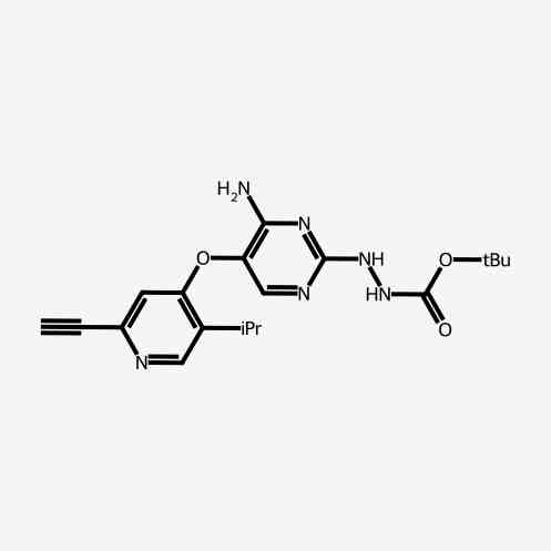 C#Cc1cc(Oc2cnc(NNC(=O)OC(C)(C)C)nc2N)c(C(C)C)cn1